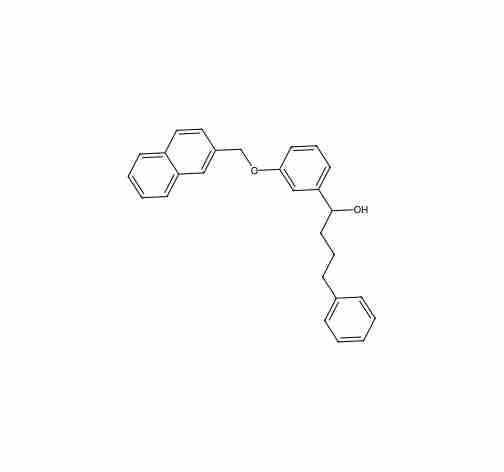 OC(CCCc1ccccc1)c1cccc(OCc2ccc3ccccc3c2)c1